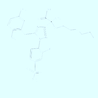 Cc1ccc(C)c(Cc2nc(C(C)(OCCOCCI)C(=O)O)nn2-c2ccc(S(N)(=O)=O)cc2F)c1